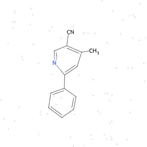 Cc1cc(-c2ccccc2)ncc1C#N